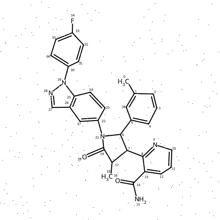 Cc1cccc(C2C(c3ncccc3C(N)=O)C(C)C(=O)N2c2ccc3c(cnn3-c3ccc(F)cc3)c2)c1